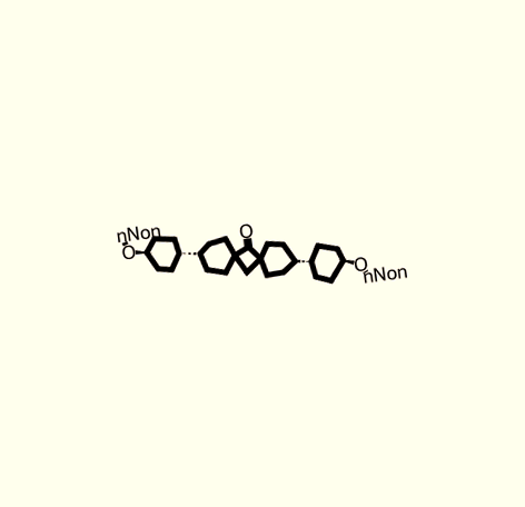 CCCCCCCCCO[C@H]1CC[C@H](C2CCC3(CC2)CC2(CCC([C@H]4CC[C@H](OCCCCCCCCC)CC4)CC2)C3=O)CC1